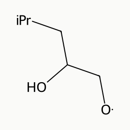 CC(C)CC(O)C[O]